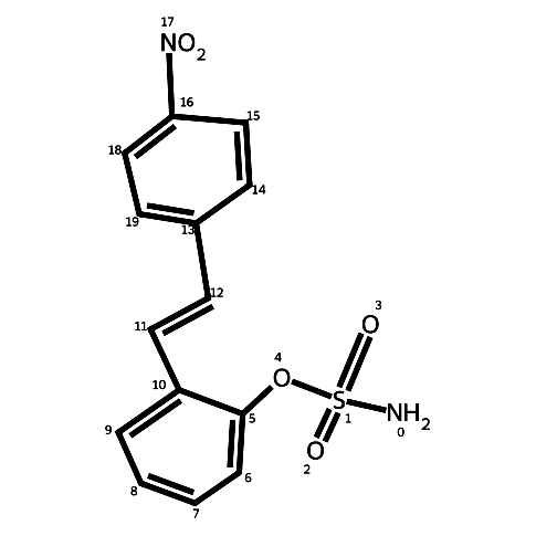 NS(=O)(=O)Oc1ccccc1/C=C/c1ccc([N+](=O)[O-])cc1